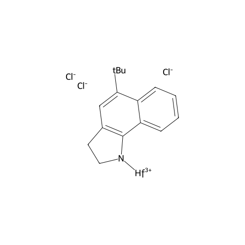 CC(C)(C)c1cc2c(c3ccccc13)[N]([Hf+3])CC2.[Cl-].[Cl-].[Cl-]